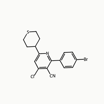 N#Cc1c(Cl)cc(C2CCSCC2)nc1-c1ccc(Br)cc1